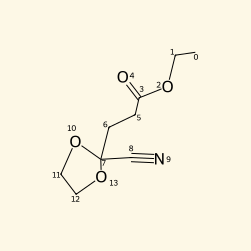 CCOC(=O)CCC1(C#N)OCCO1